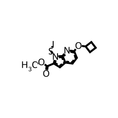 COC(=O)c1cc2ccc(OC3CCC3)nc2n1SI